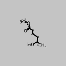 CC(O)CCCC(=O)OC(C)(C)C